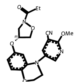 CCC(=O)N1C[C@@H](Oc2ccc3c(c2)N(c2cnc(OC)c(C#N)c2)CCO3)CO1